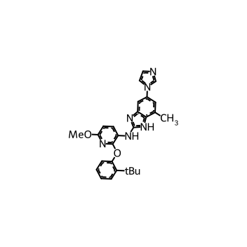 COc1ccc(Nc2nc3cc(-n4ccnc4)cc(C)c3[nH]2)c(Oc2ccccc2C(C)(C)C)n1